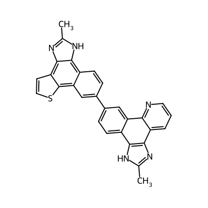 Cc1nc2c3cccnc3c3cc(-c4ccc5c(c4)c4sccc4c4nc(C)[nH]c54)ccc3c2[nH]1